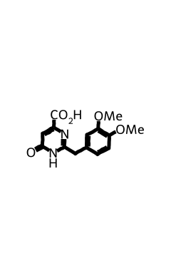 COc1ccc(Cc2nc(C(=O)O)cc(=O)[nH]2)cc1OC